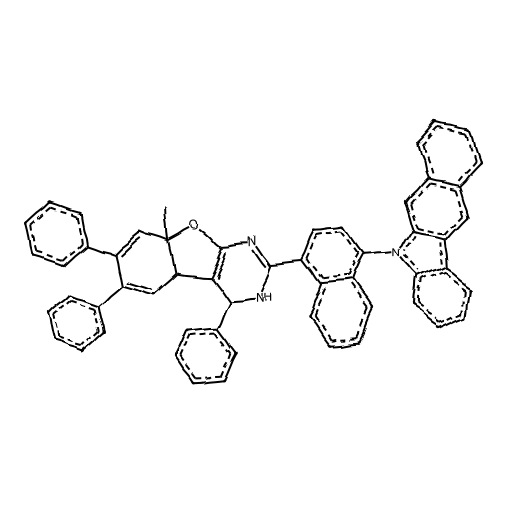 CC12C=C(c3ccccc3)C(c3ccccc3)=CC1C1=C(N=C(c3ccc(-n4c5ccccc5c5cc6ccccc6cc54)c4ccccc34)NC1c1ccccc1)O2